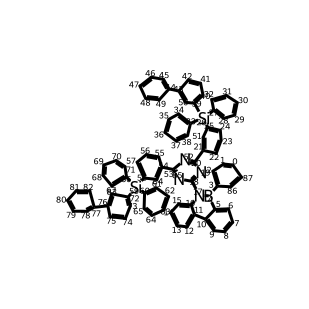 c1ccc(B2c3ccccc3-c3ccccc3N2c2nc(-c3cccc([Si](c4ccccc4)(c4ccccc4)c4cccc(-c5ccccc5)c4)c3)nc(-c3cccc([Si](c4ccccc4)(c4ccccc4)c4cccc(-c5ccccc5)c4)c3)n2)cc1